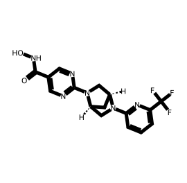 O=C(NO)c1cnc(N2C[C@@H]3C[C@H]2CN3c2cccc(C(F)(F)F)n2)nc1